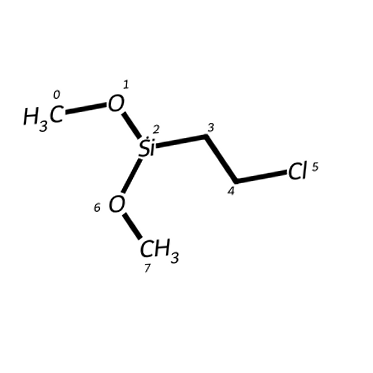 CO[Si](CCCl)OC